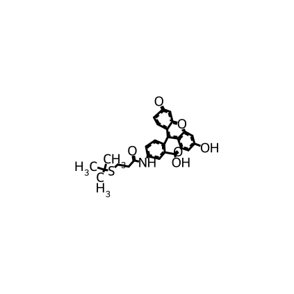 CC(C)(C)SCCC(=O)Nc1ccc(-c2c3ccc(=O)cc-3oc3cc(O)ccc23)c(C(=O)O)c1